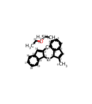 CC1=Cc2ccccc2[CH]1[Zr][CH]1C(C)=Cc2ccccc21.CCO[SiH2]C